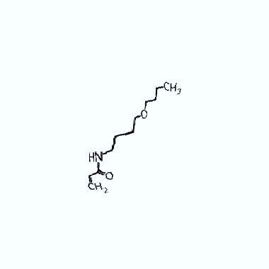 C=CC(=O)NCCCCOCCCC